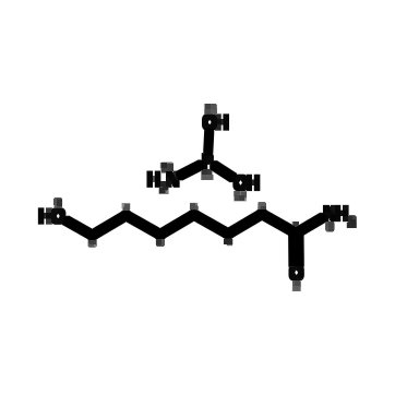 NC(=O)CCCCCCO.NP(O)O